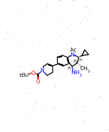 CC(=O)N1c2ccc(C3=CCN(C(=O)OC(C)(C)C)CC3)cc2[C@H](N)[C@@H](C)[C@@H]1C1CC1